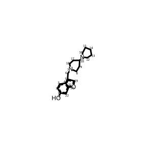 Oc1ccc2c(CN3CCC(N4CCCCC4)CC3)coc2c1